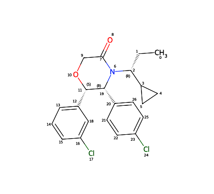 CC[C@H](C1CC1)N1C(=O)CO[C@@H](c2cccc(Cl)c2)[C@H]1c1ccc(Cl)cc1